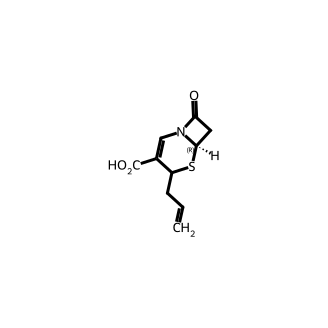 C=CCC1S[C@@H]2CC(=O)N2C=C1C(=O)O